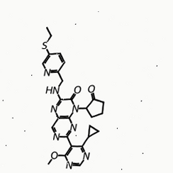 CCSc1ccc(CNc2nc3cnc(-c4c(OC)ncnc4C4CC4)nc3n(C3CCCC3=O)c2=O)nc1